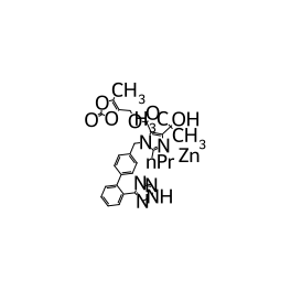 CCCc1nc(C(C)(C)O)c(C(=O)OCc2oc(=O)oc2C)n1Cc1ccc(-c2ccccc2-c2nn[nH]n2)cc1.[Zn]